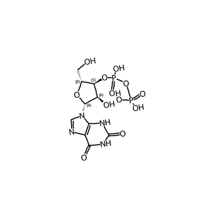 O=c1[nH]c(=O)c2ncn([C@@H]3O[C@H](CO)[C@@H](OP(=O)(O)OP(=O)(O)O)[C@H]3O)c2[nH]1